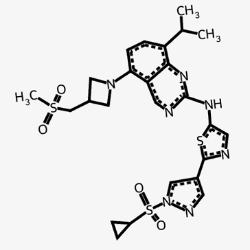 CC(C)c1ccc(N2CC(CS(C)(=O)=O)C2)c2cnc(Nc3cnc(-c4cnn(S(=O)(=O)C5CC5)c4)s3)nc12